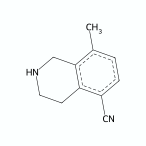 Cc1ccc(C#N)c2c1CNCC2